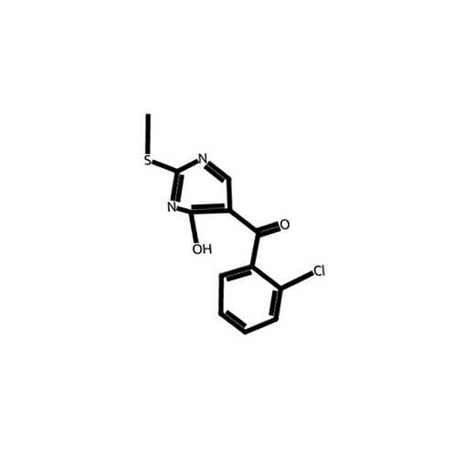 CSc1ncc(C(=O)c2ccccc2Cl)c(O)n1